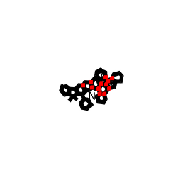 CC1(C)c2ccccc2-c2c(-c3ccccc3N(c3ccccc3-c3cccc4c3C(C)(C)c3ccccc3-4)c3ccccc3-c3cccc4oc5c6c(ccc5c34)CCC=C6)cccc21